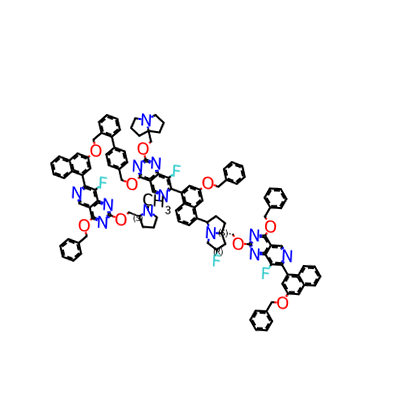 CN1CCC[C@H]1COc1nc(OCc2ccccc2)c2cnc(-c3cc(OCc4ccccc4-c4ccc(COc5nc(OCC67CCCN6CCC7)nc6c(F)c(-c7cc(OCc8ccccc8)cc8c(C9CC[C@@]%10(COc%11nc(OCc%12ccccc%12)c%12cnc(-c%13cc(OCc%14ccccc%14)cc%14ccccc%13%14)c(F)c%12n%11)C[C@@H](F)CN9%10)cccc78)ncc56)cc4)cc4ccccc34)c(F)c2n1